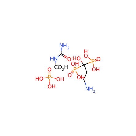 NC(=O)NC(=O)O.NCCC(O)(P(=O)(O)O)P(=O)(O)O.O=P(O)(O)O